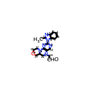 Cc1nc2ccccc2n1-c1ncc2c(n1)N1CCOCC1CN2CC=O